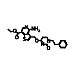 CCOC(=O)c1cnc(N)c2c(COC(/C=C\N(C)CCc3ccccc3)=N/C=O)csc12